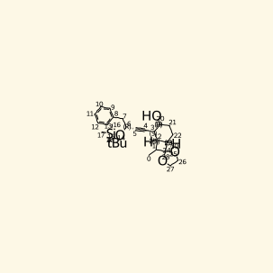 CC1[C@@H]2[C@@H](C#C[C@@H](Cc3ccccc3)O[Si](C)(C)C(C)(C)C)[C@H](O)CC[C@@H]2C12OCCO2